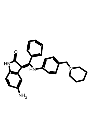 Nc1ccc2c(c1)C(=C(Nc1ccc(CN3CCCCC3)cc1)c1ccccc1)C(=O)N2